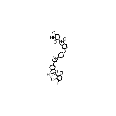 C[C@@H](Oc1cc(-c2cnn(C3CCN(Cc4ccc5c(c4)CN(C4CCC(=O)NC4=O)C5=O)CC3)c2)cnc1N)c1c(Cl)ccc(F)c1Cl